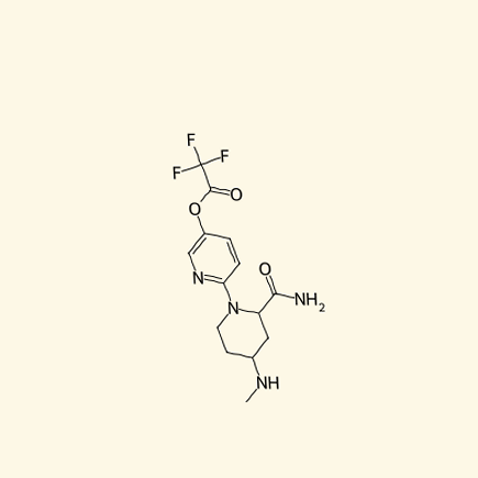 CNC1CCN(c2ccc(OC(=O)C(F)(F)F)cn2)C(C(N)=O)C1